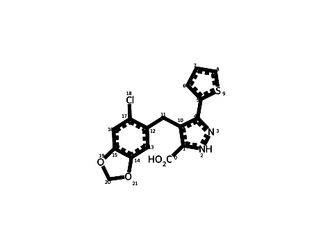 O=C(O)c1[nH]nc(-c2cccs2)c1Cc1cc2c(cc1Cl)OCO2